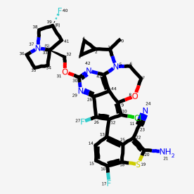 CC(C1CC1)N1CCOc2c(Cl)c(-c3ccc(F)c4sc(N)c(C#N)c34)c(F)c3nc(OC[C@@]45CCCN4C[C@H](F)C5)nc1c23